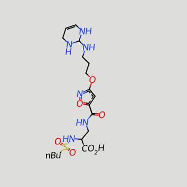 CCCCS(=O)(=O)NC(CNC(=O)c1cc(OCCCNC2NC=CCN2)no1)C(=O)O